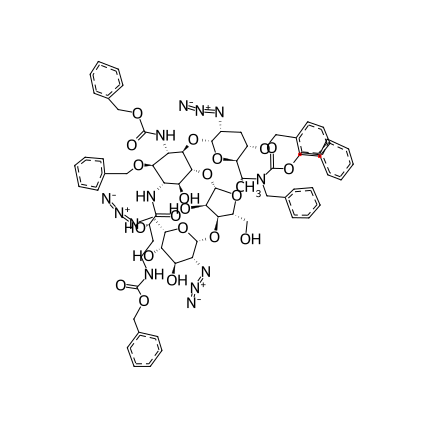 C[C@H]([C@H]1O[C@H](O[C@@H]2[C@@H](NC(=O)OCc3ccccc3)[C@H](OCc3ccccc3)[C@@H](NC(=O)[C@@H](O)CCNC(=O)OCc3ccccc3)[C@H](O)[C@H]2O[C@@H]2O[C@H](CO)[C@@H](O[C@H]3O[C@@H](CN=[N+]=[N-])[C@@H](O)[C@H](O)[C@H]3N=[N+]=[N-])[C@H]2O)[C@H](N=[N+]=[N-])C[C@@H]1OCc1ccccc1)N(Cc1ccccc1)C(=O)OCc1ccccc1